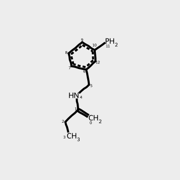 C=C(CC)NCc1cccc(P)c1